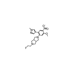 COc1cc(N2CC3CN(CCF)CC3C2)c(-c2cnn(C)c2)cc1[N+](=O)[O-]